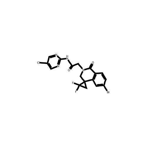 O=C(CN1CC2(CC2(F)F)c2cc(Br)ccc2C1=O)Nc1ncc(Cl)cn1